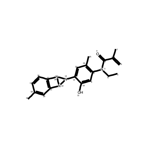 C=C(C)C(=O)N(CC)c1cc(O)c(-n2n3c4ccc(C)cc4n23)cc1C